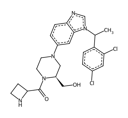 CC(c1ccc(Cl)cc1Cl)n1cnc2ccc(N3CCN(C(=O)C4CCN4)[C@H](CO)C3)cc21